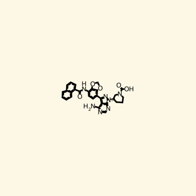 Nc1ncnc2c1c(-c1ccc(NC(=O)c3cccc4ccccc34)c3c1OCO3)nn2[C@@H]1CCCN(C(=O)O)C1